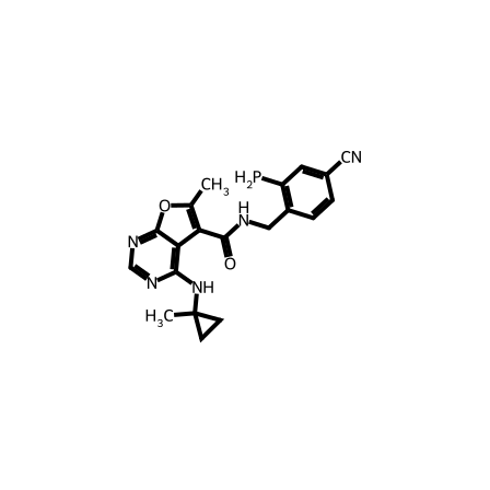 Cc1oc2ncnc(NC3(C)CC3)c2c1C(=O)NCc1ccc(C#N)cc1P